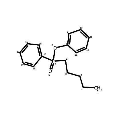 CCCCCP(=O)(Oc1ccccc1)c1ccccc1